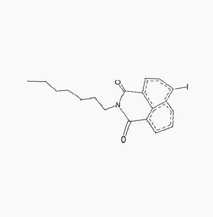 CCCCCCCN1C(=O)c2cccc3c(I)ccc(c23)C1=O